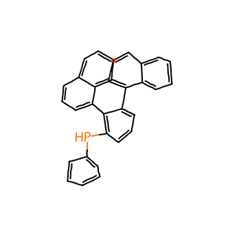 c1ccc(Pc2cccc(-c3cccc4ccccc34)c2-c2cccc3ccccc23)cc1